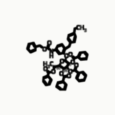 CCc1ccc(Cc2ccc(NC(=O)OCc3ccccc3)cc2O[C@@H]2O[C@H]([C@@H](C)OC(=O)c3ccccc3)[C@@H](OC(=O)c3ccccc3)[C@H](OC(=O)c3ccccc3)[C@H]2OC(=O)c2ccccc2)cc1